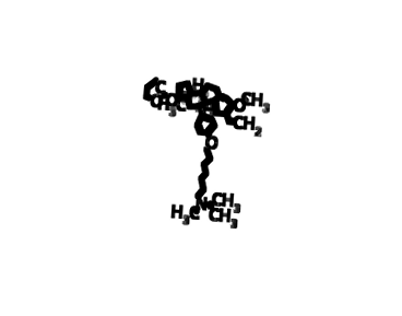 C=Cc1cc2c(cc1OC)CC[C@@H]1[C@@H]2[C@@H](c2ccc(OCCCCCCCN(C)C(C)C)cc2)C[C@]2(C)[C@@H](OC3CCCCO3)CC[C@@H]12